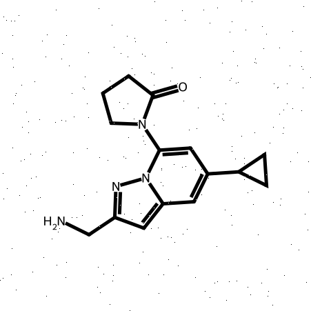 NCc1cc2cc(C3CC3)cc(N3CCCC3=O)n2n1